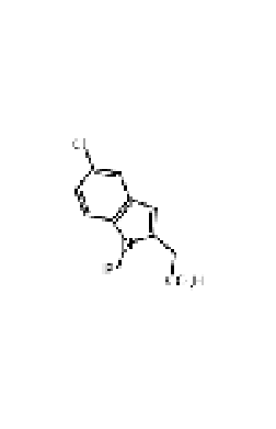 CC(C)n1c(CC(=O)O)cc2cc(Cl)ccc21